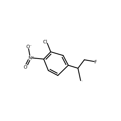 [CH2]C(CF)c1ccc([N+](=O)[O-])c(Cl)c1